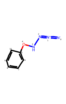 [N-]=[N+]=NNOc1ccccc1